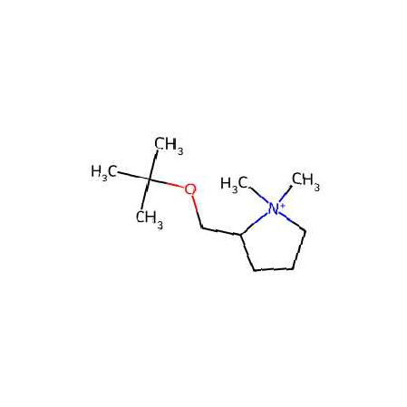 CC(C)(C)OCC1CCC[N+]1(C)C